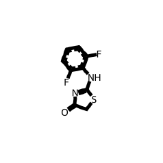 O=C1CSC(Nc2c(F)cccc2F)=N1